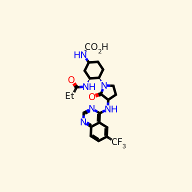 CCC(=O)N[C@@H]1CC(NC(=O)O)CC[C@@H]1N1CCC(Nc2ncnc3ccc(C(F)(F)F)cc23)C1=O